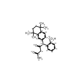 CC1(C)CCC(C)(C)c2cc(N(C(=O)CC(N)=O)c3ccccc3C(=O)O)ccc21